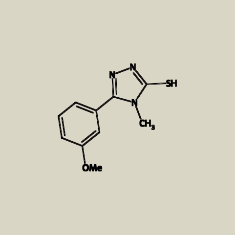 COc1cccc(-c2nnc(S)n2C)c1